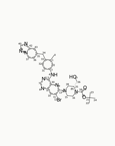 Cc1cc(Nc2ncnc3cc(Br)c(N4CCN(C(=O)OC(C)(C)C)[C@@H](CO)C4)nc23)ccc1Cc1ccn2ncnc2c1